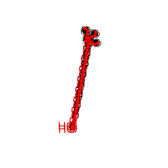 O=P(O)(O)OCCOCCOCCOCCOCCOCCOCCOCCOCCOCCOCCOCCOCCOCCOCCOCCOc1ccc(C=Cc2ccccc2)c(C=Cc2ccccc2)c1C=Cc1ccccc1